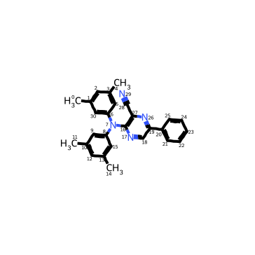 Cc1cc(C)cc(N(c2cc(C)cc(C)c2)c2ncc(-c3ccccc3)nc2C#N)c1